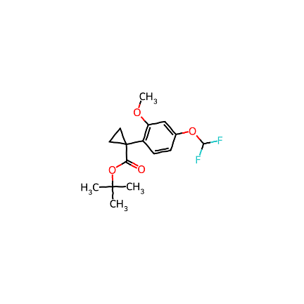 COc1cc(OC(F)F)ccc1C1(C(=O)OC(C)(C)C)CC1